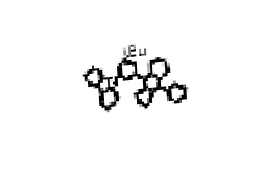 CC(C)(C)c1cc(-c2c3ccccc3c(-c3ccccc3)c3ccccc23)cc(-n2c3ccccc3c3ccccc32)c1